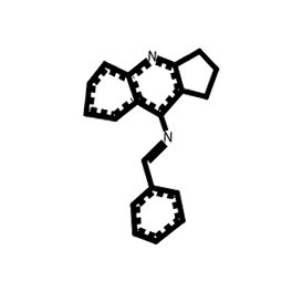 C(=Nc1c2c(nc3ccccc13)CCC2)c1ccccc1